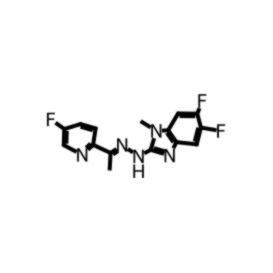 C/C(=N\Nc1nc2cc(F)c(F)cc2n1C)c1ccc(F)cn1